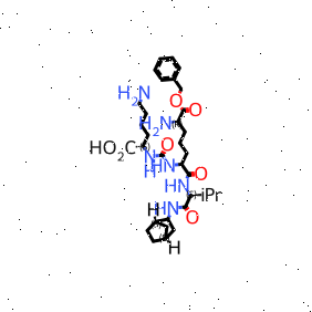 CC(C)[C@H](NC(=O)C(CCC[C@@H](N)C(=O)OCc1ccccc1)NC(=O)N[C@@H](CCCCN)C(=O)O)C(=O)NC1C[C@H]2CC[C@H]1C2